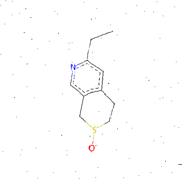 CCc1cc2c(cn1)C[S+]([O-])CC2